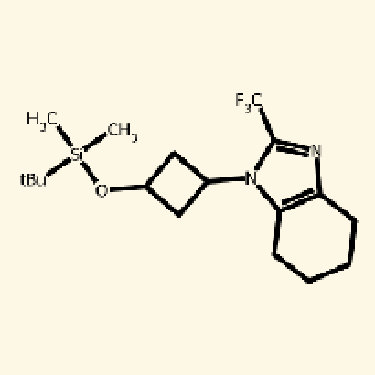 CC(C)(C)[Si](C)(C)OC1CC(n2c(C(F)(F)F)nc3c2CCCC3)C1